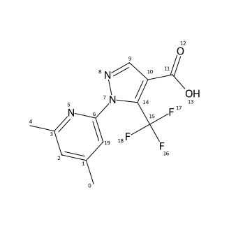 Cc1cc(C)nc(-n2ncc(C(=O)O)c2C(F)(F)F)c1